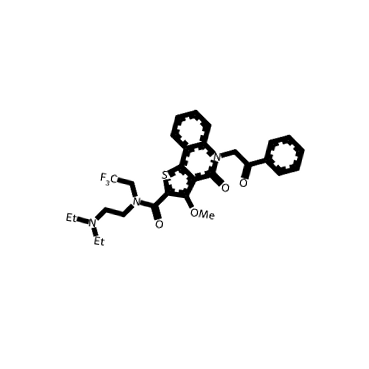 CCN(CC)CCN(CC(F)(F)F)C(=O)c1sc2c(c1OC)c(=O)n(CC(=O)c1ccccc1)c1ccccc21